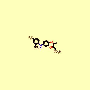 CCOC(=O)CC(=O)C(C)Oc1ccc(Nc2ccc(C(F)(F)F)cc2[N+](=O)[O-])cc1